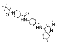 Cc1ccc2c(NCc3ccc(NC(=O)C4CCN(C(=O)OC(C)(C)C)CC4)cc3)nc(N(C)C)nc2c1